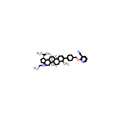 C=C(C)[C@@H]1CCC2(NCC)CC[C@]3(C)C(CCC4C5(C)CC=C(C6=CCC(COc7ncccc7C#N)CC6)C(C)C5CCC43C)C12